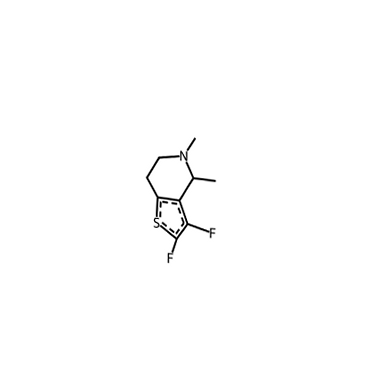 CC1c2c(sc(F)c2F)CCN1C